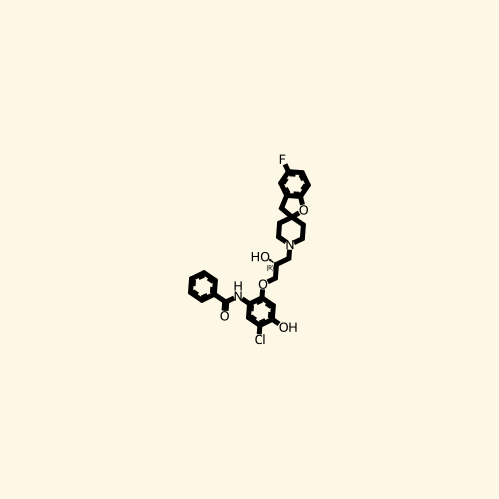 O=C(Nc1cc(Cl)c(O)cc1OC[C@H](O)CN1CCC2(CC1)Cc1cc(F)ccc1O2)c1ccccc1